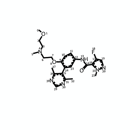 COCCN(C)CCOc1ccc(NC(=O)c2c(F)cnn2C)cc1-c1c(C)ncnc1C